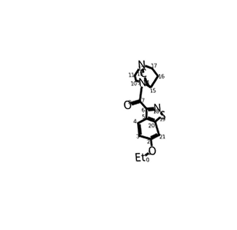 CCOc1ccc2c(C(=O)N3CCN4CCC3CC4)nsc2c1